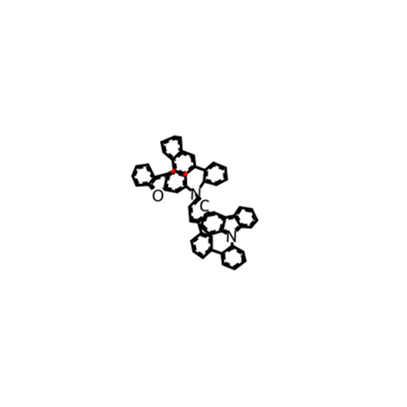 c1cc(-c2ccc(N(c3ccc4c(c3)oc3ccccc34)c3ccccc3-c3ccc4ccccc4c3)cc2)cc(-c2ccccc2-n2c3ccccc3c3ccccc32)c1